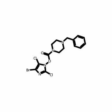 O=C(On1c(Cl)nc(Br)c1Cl)N1CCN(Cc2ccccc2)CC1